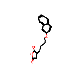 O=C1C=C(CCCCOc2ccc3ccccc3c2)C(O)O1